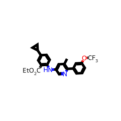 CCOC(=O)c1cc(C2CC2)ccc1Nc1cnc(-c2cccc(OC(F)(F)F)c2)c(C)c1